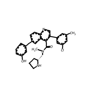 Cc1cc(Cl)cc(-c2cnc3ccc(-c4cccc(O)c4)cc3c2C(=O)N(C)C[C@H]2CCCN2)c1